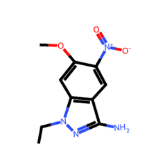 CCn1nc(N)c2cc([N+](=O)[O-])c(OC)cc21